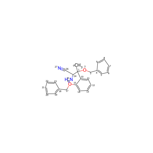 CC(OCc1ccccc1)(c1ccccc1OCc1ccccc1)C(N)C#N